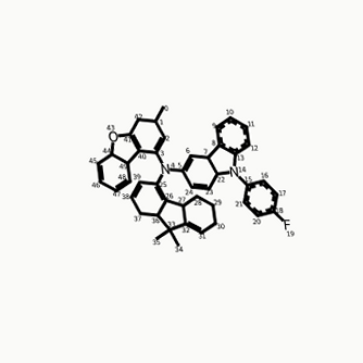 CC1C=C(N(C2=CC3c4ccccc4N(c4ccc(F)cc4)C3C=C2)C2=C3C4CCCC=C4C(C)(C)C3CC=C2)C2=C(C1)OC1C=CC=CC21